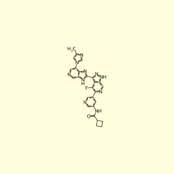 Cc1cn(-c2cncc3[nH]c(-c4n[nH]c5cnc(-c6cncc(NC(=O)C7CCC7)c6)c(F)c45)nc23)cn1